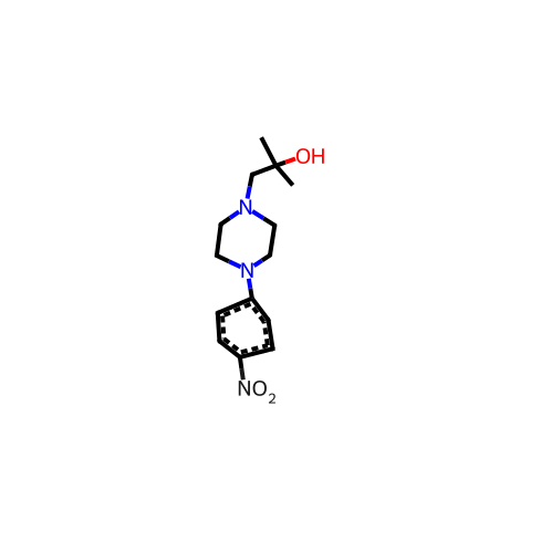 CC(C)(O)CN1CCN(c2ccc([N+](=O)[O-])cc2)CC1